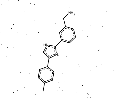 Cc1ccc(-c2c[nH]c(-c3cccc(CN)c3)n2)cc1